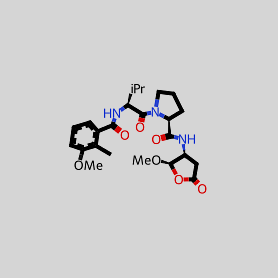 COc1cccc(C(=O)N[C@H](C(=O)N2CCC[C@H]2C(=O)N[C@H]2CC(=O)O[C@H]2OC)C(C)C)c1C